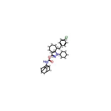 O=C(NC1C2CC3CC(C2)CC1C3)Oc1nn(C2CCCCC2)c2c1CCCCC2Cc1ccc(Cl)cc1